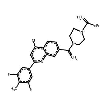 C=C(CCC)N1CCN(C(=C)c2ccc3c(Cl)cc(-c4cc(F)c(C)c(F)c4)nc3c2)CC1